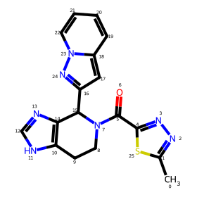 Cc1nnc(C(=O)N2CCc3[nH]cnc3C2c2cc3ccccn3n2)s1